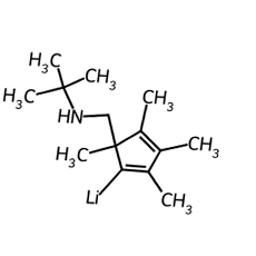 [Li][C]1=C(C)C(C)=C(C)C1(C)CNC(C)(C)C